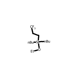 CCCC[Si](CCCC)(CCC(F)(F)F)OCC